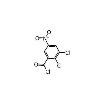 O=C(Cl)c1cc([N+](=O)[O-])cc(Cl)c1Cl